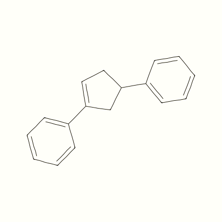 C1=C(c2ccccc2)CC(c2ccccc2)C1